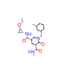 CCO[C@@H]1C[C@H]1NC(=O)c1cc(C(=O)NC)c(=O)n(Cc2cccc(C)c2)c1